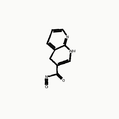 O=NC(=O)C1=CNc2ncccc2C1